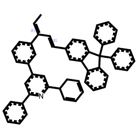 C/C=C(\C=C\c1ccc2c(c1)-c1ccccc1C2(c1ccccc1)c1ccccc1)c1cccc(-c2cc(-c3ccccc3)nc(C3C=CC=CC3)c2)c1